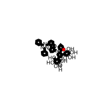 Oc1c(O)c(O)c(-c2cc(-c3c(O)c(O)c(O)c(O)c3O)c3c4ccccc4n(-c4cccc5c4oc4cccc(-c6nc(-c7ccccc7)nc(-c7ccccc7)n6)c45)c3c2)c(O)c1O